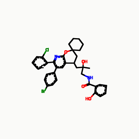 CC(O)(CNC(=O)c1ccccc1O)CC1CC2(CCCCC2)Oc2nc(-c3ccccc3Cl)c(-c3ccc(Br)cc3)cc21